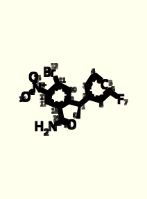 C[C@H](c1cccc(F)c1)c1cc(Br)c([N+](=O)[O-])cc1C(N)=O